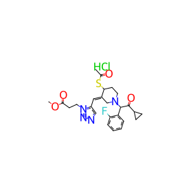 COC(=O)CCn1nncc1/C=C1\CN(C(C(=O)C2CC2)c2ccccc2F)CCC1SC(C)=O.Cl